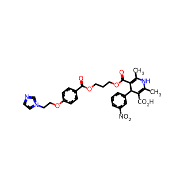 CC1=C(C(=O)O)C(c2cccc([N+](=O)[O-])c2)C(C(=O)OCCCOC(=O)c2ccc(OCCn3ccnc3)cc2)=C(C)N1